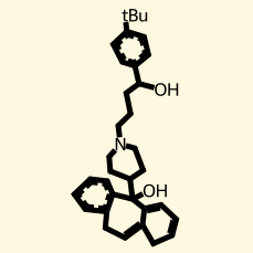 CC(C)(C)c1ccc(C(O)CCCN2CCC(C3(O)C4=CC=CCC4=CCc4ccccc43)CC2)cc1